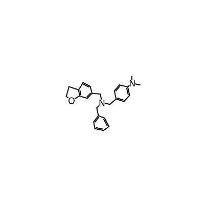 CN(C)c1ccc(CN(Cc2ccccc2)Cc2ccc3c(c2)OCC3)cc1